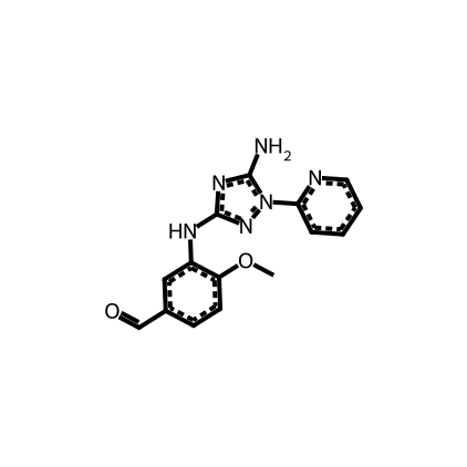 COc1ccc(C=O)cc1Nc1nc(N)n(-c2ccccn2)n1